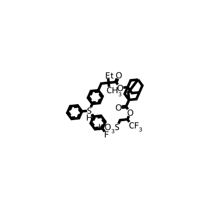 CCC(C)(Cc1ccc([SH](c2ccccc2)c2ccc(F)cc2)cc1)C(=O)OC12CC3CC(C1)CC(C(=O)OC(CS(=O)(=O)O)C(F)(F)F)(C3)C2